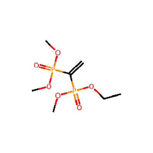 C=C(P(=O)(OC)OC)P(=O)(OC)OCC